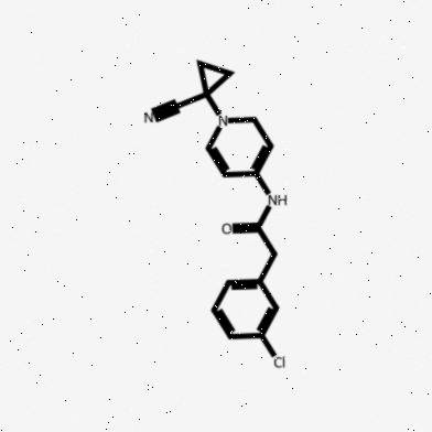 N#CC1(N2C=CC(NC(=O)Cc3cccc(Cl)c3)=CC2)CC1